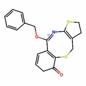 O=C1CC=CC2=C1SCC1=C(/N=C\2OCc2ccccc2)SCC1